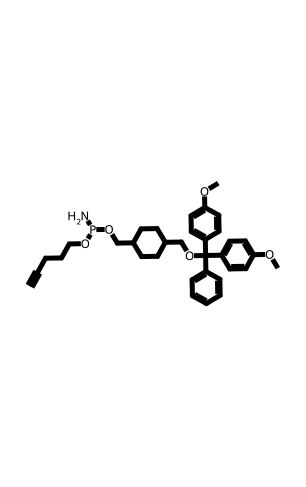 C#CCCCOP(N)OCC1CCC(COC(c2ccccc2)(c2ccc(OC)cc2)c2ccc(OC)cc2)CC1